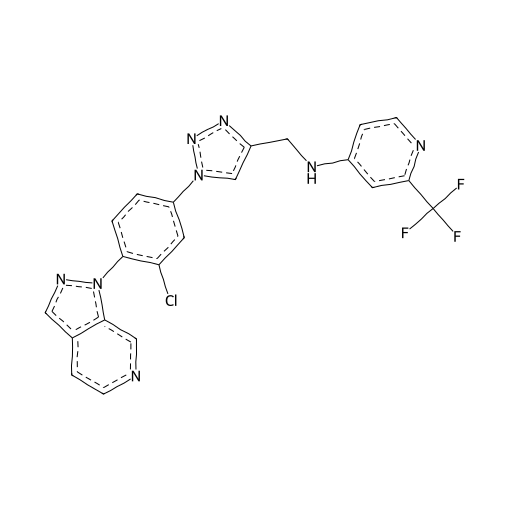 FC(F)(F)c1cc(NCc2cn(-c3ccc(-n4ncc5ccncc54)c(Cl)c3)nn2)ccn1